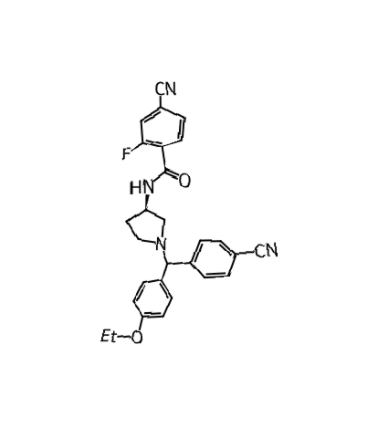 CCOc1ccc(C(c2ccc(C#N)cc2)N2CC[C@@H](NC(=O)c3ccc(C#N)cc3F)C2)cc1